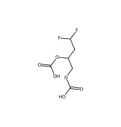 O=C(O)OCC(CC(F)F)OC(=O)O